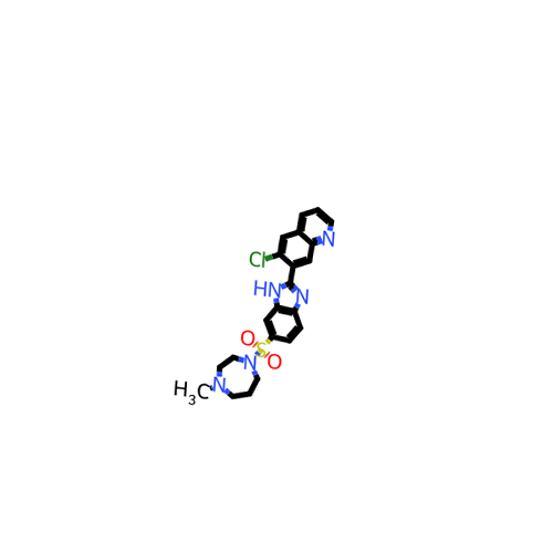 CN1CCCN(S(=O)(=O)c2ccc3nc(-c4cc5ncccc5cc4Cl)[nH]c3c2)CC1